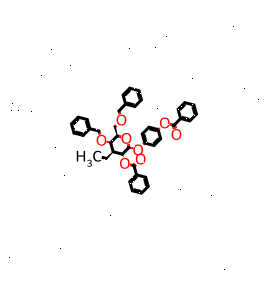 CC[C@H]1[C@@H](OCc2ccccc2)[C@@H](COCc2ccccc2)O[C@@H](Oc2ccc(OC(=O)c3ccccc3)cc2)[C@@H]1OC(=O)c1ccccc1